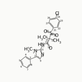 Cn1c(-c2ccccc2)cnc1NC(=O)C(C)(C)S(=O)(=O)c1ccc(Cl)cc1